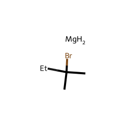 CCC(C)(C)Br.[MgH2]